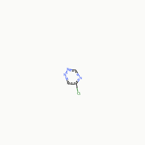 Clc1[c]nncn1